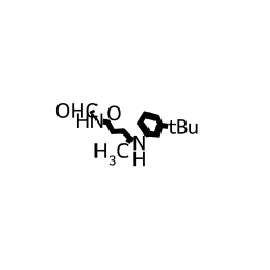 CC(CCC(=O)NC=O)Nc1cccc(C(C)(C)C)c1